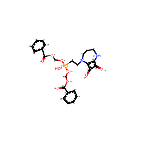 O=C(OCO[PH](O)(CCN1CCCNc2c1c(=O)c2=O)OCOC(=O)c1ccccc1)c1ccccc1